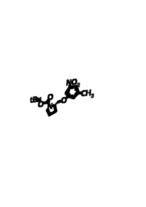 Cc1cc(OC[C@@H]2CCCN2C(=O)OC(C)(C)C)cc([N+](=O)[O-])c1